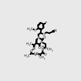 COc1ccc(F)cc1C(Cn1cc(/C(C)=N/OC(C)C)c(=O)n(C[C@H](C)NC(=O)C(C)C)c1=O)OCCC#N